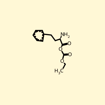 CCOC(=O)OC(=O)[C@H](N)CCc1ccccc1